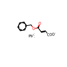 O=C([O-])C=CC(=O)OCc1ccccc1.[Pb+]